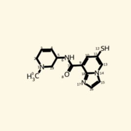 CN1CC=CC(NC(=O)c2cc(S)cn3ccnc23)C1